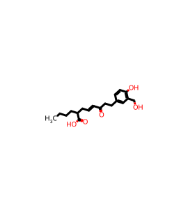 CCCCC(C/C=C/C(=O)CCc1ccc(O)c(CO)c1)C(=O)O